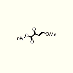 CCCOC(=O)C(=O)C=COC